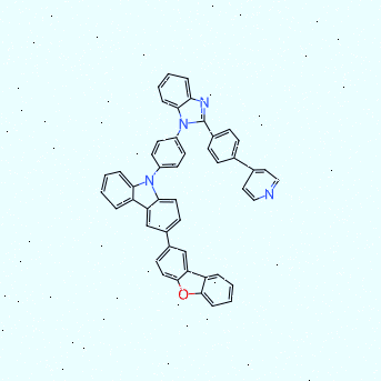 c1ccc2c(c1)nc(-c1ccc(-c3ccncc3)cc1)n2-c1ccc(-n2c3ccccc3c3cc(-c4ccc5oc6ccccc6c5c4)ccc32)cc1